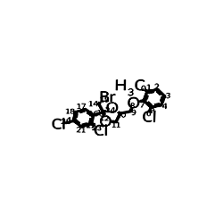 Cc1cccc(Cl)c1OCC1COC(CBr)(c2ccc(Cl)cc2Cl)O1